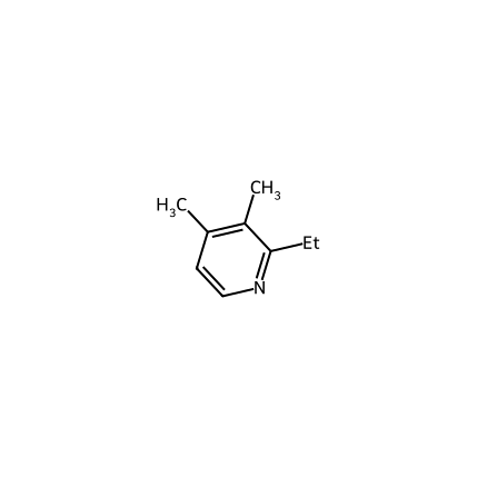 CCc1nccc(C)c1C